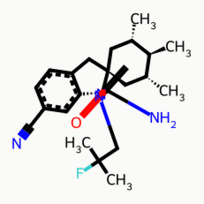 C[C@H]1[C@H](C)C[C@@]2(Cc3ccc(C#N)cc3[C@]23N=C(N)N(CC(C)(C)F)C3=O)C[C@@H]1C